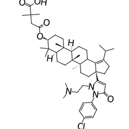 CC(C)C1=C2C3CC[C@@H]4[C@@]5(C)CC[C@H](OC(=O)CC(C)(C)C(=O)O)C(C)(C)[C@@H]5CC[C@@]4(C)[C@]3(C)CC[C@@]2(c2cc(=O)n(-c3ccc(Cl)cc3)n2CCN(C)C)CC1